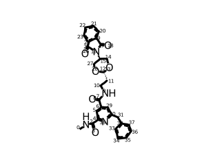 CNC(=O)c1cc(C(=O)NCC[C@H]2OC[C@H](N3C(=O)c4ccccc4C3=O)CO2)cc(Cc2ccccc2)n1